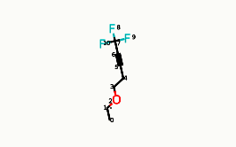 C[CH]OCCC#CC(F)(F)F